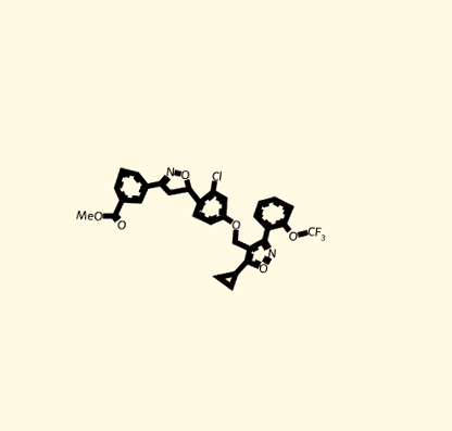 COC(=O)c1cccc(C2=NOC(c3ccc(OCc4c(-c5ccccc5OC(F)(F)F)noc4C4CC4)cc3Cl)C2)c1